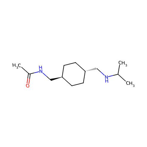 CC(=O)NC[C@H]1CC[C@H](CNC(C)C)CC1